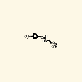 CS(=O)(=O)OCCNC(=O)OCc1ccc([N+](=O)[O-])cc1